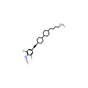 CCCCCC1CCC(C2CCC(C#Cc3cc(F)c(N=C=S)c(F)c3)CC2)CC1